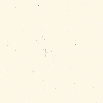 CC(=O)N(Cl)c1ccc2c(c1NC(=O)c1cccc(F)c1)C(=O)c1ccccc1C2=O